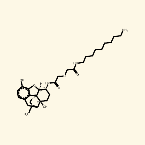 CN1CC[C@]23c4c5ccc(O)c4O[C@H]2[C@@H](NC(=O)COCC(=O)NCCCCCCCCCN)CC[C@]3(O)C1C5